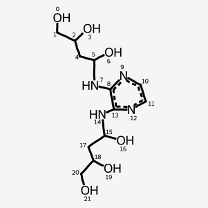 OCC(O)CC(O)Nc1nccnc1NC(O)CC(O)CO